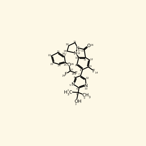 CC(C)(O)c1ncc(-c2cc3c(cc2F)c(=O)n2n3[C@H](c3ccccc3OC(F)F)CC2)cn1